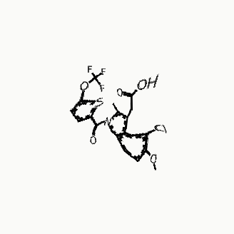 COc1ccc2c(c1Cl)c(CC(=O)O)c(C)n2C(=O)c1ccc(OC(F)(F)F)s1